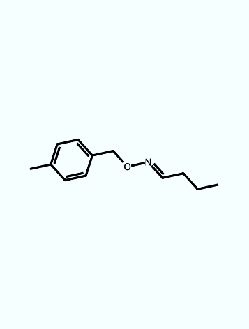 CCCC=NOCc1ccc(C)cc1